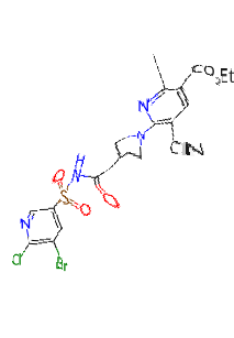 CCOC(=O)c1cc(C#N)c(N2CC(C(=O)NS(=O)(=O)c3cnc(Cl)c(Br)c3)C2)nc1C